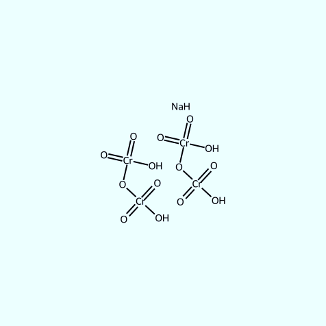 [NaH].[O]=[Cr](=[O])([OH])[O][Cr](=[O])(=[O])[OH].[O]=[Cr](=[O])([OH])[O][Cr](=[O])(=[O])[OH]